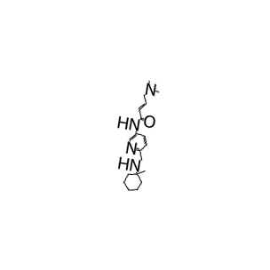 CN(C)C/C=C/C(=O)Nc1ccc(CNC2(C)CCCCC2)nc1